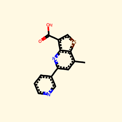 Cc1cc(-c2cccnc2)nc2c(C(=O)O)csc12